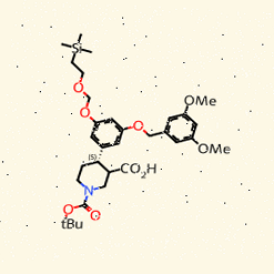 COc1cc(COc2cc(OCOCC[Si](C)(C)C)cc([C@H]3CCN(C(=O)OC(C)(C)C)CC3C(=O)O)c2)cc(OC)c1